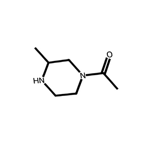 CC(=O)N1CCNC(C)C1